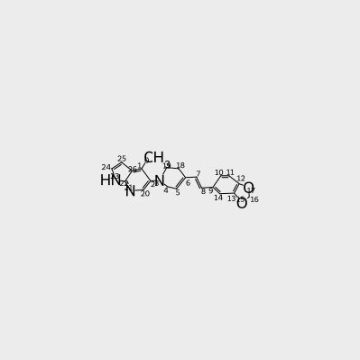 Cc1c(N2CC=C(C=Cc3ccc4c(c3)OCO4)CC2)cnc2[nH]ccc12